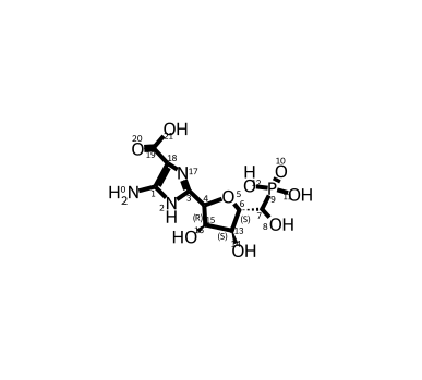 Nc1[nH]c(C2O[C@H](C(O)P(=O)(O)O)[C@@H](O)[C@H]2O)nc1C(=O)O